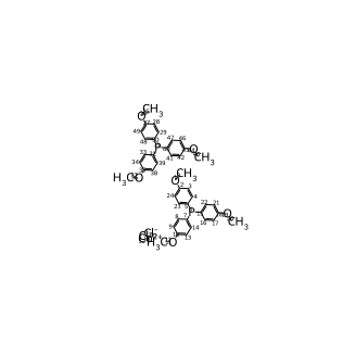 COc1ccc(P(c2ccc(OC)cc2)c2ccc(OC)cc2)cc1.COc1ccc(P(c2ccc(OC)cc2)c2ccc(OC)cc2)cc1.[Cl-].[Cl-].[Co+2]